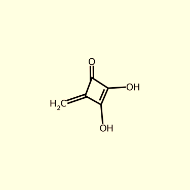 C=C1C(=O)C(O)=C1O